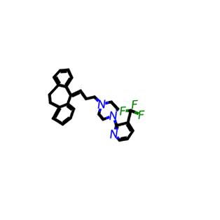 FC(F)(F)c1cccnc1N1CCN(CCC=C2c3ccccc3CCc3ccccc32)CC1